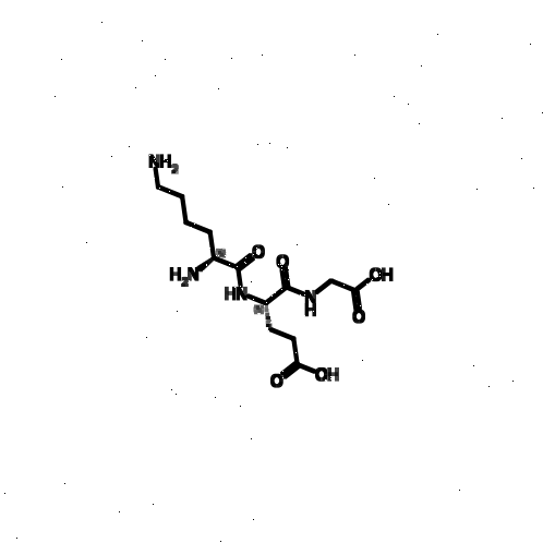 NCCCC[C@H](N)C(=O)N[C@@H](CCC(=O)O)C(=O)NCC(=O)O